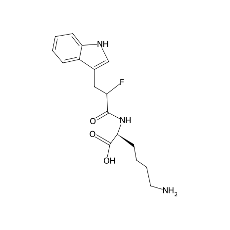 NCCCC[C@H](NC(=O)C(F)Cc1c[nH]c2ccccc12)C(=O)O